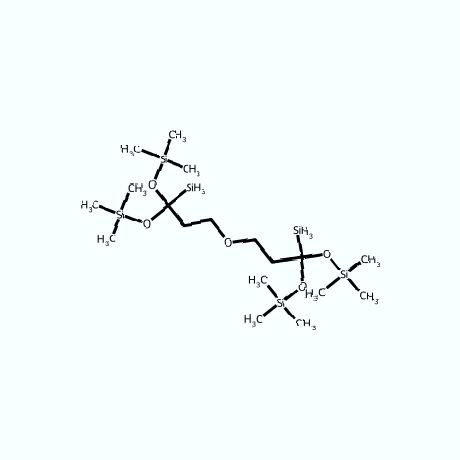 C[Si](C)(C)OC([SiH3])(CCOCCC([SiH3])(O[Si](C)(C)C)O[Si](C)(C)C)O[Si](C)(C)C